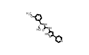 COc1cccc([C@@H](CO)NC(=O)Nc2cc(-c3ccncc3)n[nH]2)c1